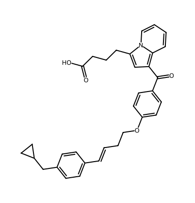 O=C(O)CCCc1cc(C(=O)c2ccc(OCCC=Cc3ccc(CC4CC4)cc3)cc2)c2ccccn12